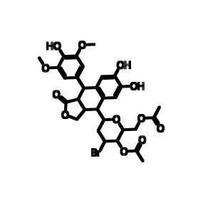 COc1cc(C2c3cc(O)c(O)cc3C(C3CC(Br)C(OC(C)=O)C(COC(C)=O)O3)C3COC(=O)C23)cc(OC)c1O